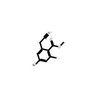 COC(=O)c1c(F)cc(Br)cc1CC#N